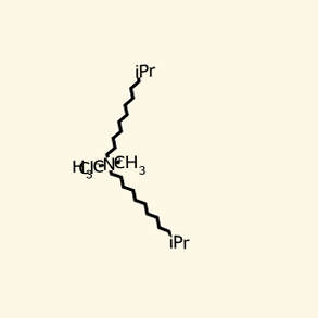 CC(C)CCCCCCCCCC[N+](C)(C)CCCCCCCCCCC(C)C.[Cl-]